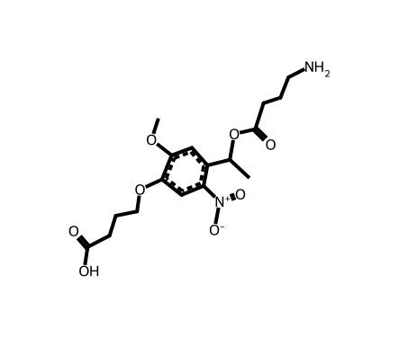 COc1cc(C(C)OC(=O)CCCN)c([N+](=O)[O-])cc1OCCCC(=O)O